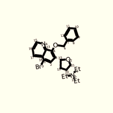 Brc1ccc(OCc2ccccc2)c2ncccc12.C1CCOC1.CCN(CC)CC